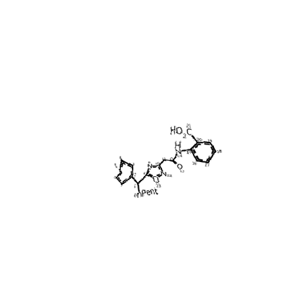 CCCCCC(c1ccccc1)c1nc(CC(=O)Nc2ccccc2C(=O)O)no1